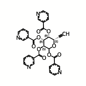 C#C[C@@H]1OC(OC(=O)c2cccnc2)[C@@H](OC(=O)c2cccnc2)[C@H](OC(=O)c2cccnc2)[C@@H]1OC(=O)c1cccnc1